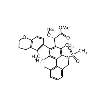 COC(=O)[C@@H](OC(C)(C)C)c1c(C)c2c(c(C)c1-c1ccc3c(c1C)CCCO3)-c1c(F)cccc1CN2S(C)(=O)=O